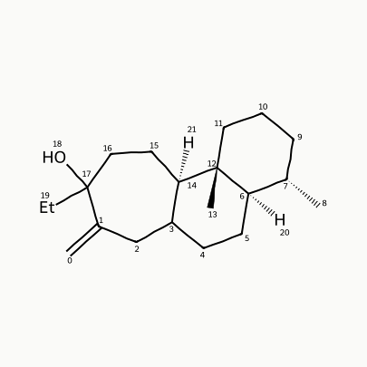 C=C1CC2CC[C@@H]3[C@@H](C)CCC[C@@]3(C)[C@@H]2CCC1(O)CC